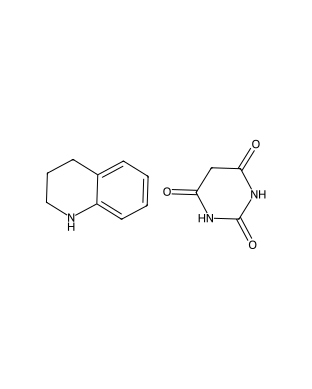 O=C1CC(=O)NC(=O)N1.c1ccc2c(c1)CCCN2